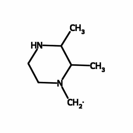 [CH2]N1CCNC(C)C1C